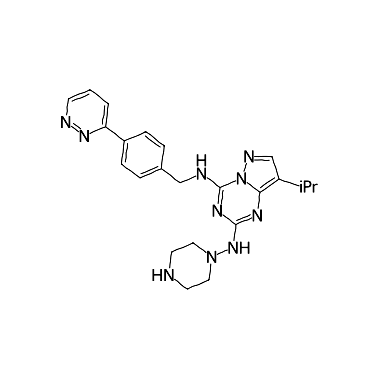 CC(C)c1cnn2c(NCc3ccc(-c4cccnn4)cc3)nc(NN3CCNCC3)nc12